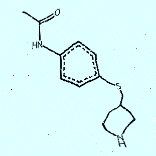 CC(=O)Nc1ccc(SC2CNC2)cc1